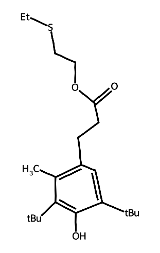 CCSCCOC(=O)CCc1cc(C(C)(C)C)c(O)c(C(C)(C)C)c1C